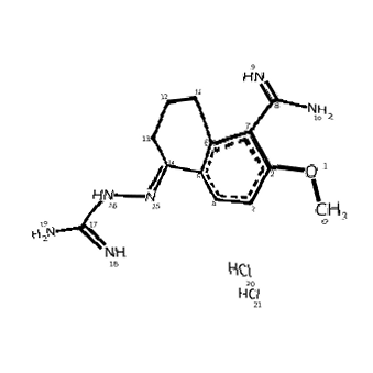 COc1ccc2c(c1C(=N)N)CCCC2=NNC(=N)N.Cl.Cl